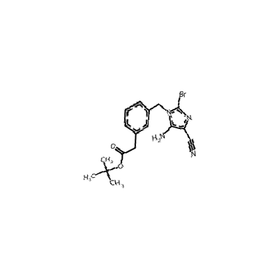 CC(C)(C)OC(=O)Cc1cccc(Cn2c(Br)nc(C#N)c2N)c1